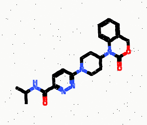 CC(C)NC(=O)c1ccc(N2CCC(N3C(=O)OCc4ccccc43)CC2)nn1